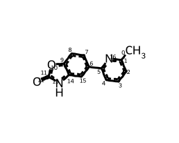 Cc1cccc(-c2ccc3oc(=O)[nH]c3c2)n1